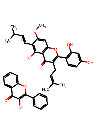 COc1cc2oc(-c3ccc(O)cc3O)c(CC=C(C)C)c(=O)c2c(O)c1/C=C/C(C)C.O=c1c(O)c(-c2ccccc2)oc2ccccc12